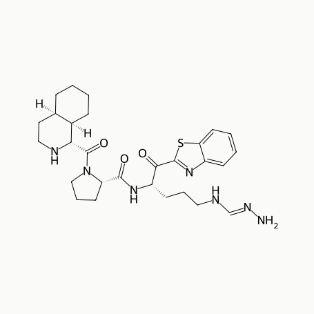 NN=CNCCC[C@H](NC(=O)[C@@H]1CCCN1C(=O)[C@@H]1NCC[C@H]2CCCC[C@H]21)C(=O)c1nc2ccccc2s1